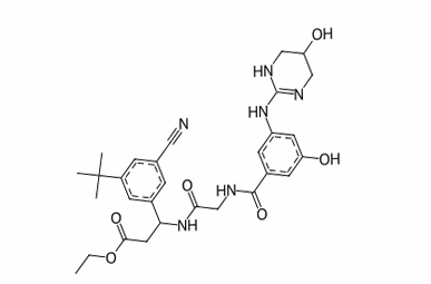 CCOC(=O)CC(NC(=O)CNC(=O)c1cc(O)cc(NC2=NCC(O)CN2)c1)c1cc(C#N)cc(C(C)(C)C)c1